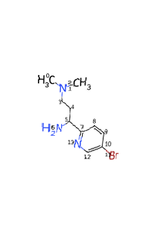 CN(C)CCC(N)c1ccc(Br)cn1